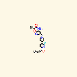 CCC1Oc2ncc(CN3CC=C(c4ccc(C(=O)NC)nc4F)CC3)cc2NC1=O